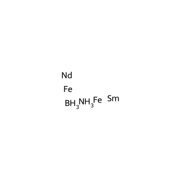 B.N.[Fe].[Fe].[Nd].[Sm]